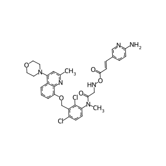 Cc1cc(N2CCOCC2)c2cccc(OCc3c(Cl)ccc(N(C)C(=O)CNOC(=O)/C=C/c4ccc(N)nc4)c3Cl)c2n1